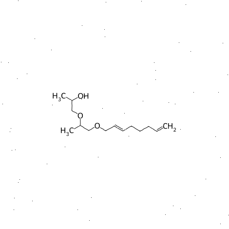 C=CCCCC=CCOCC(C)OCC(C)O